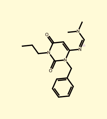 CCCn1c(=O)cc(/N=C\N(C)C)n(Cc2ccccc2)c1=O